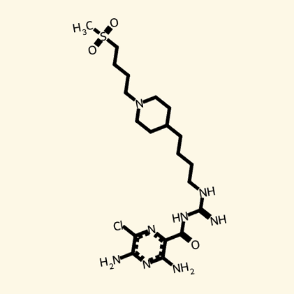 CS(=O)(=O)CCCCN1CCC(CCCCNC(=N)NC(=O)c2nc(Cl)c(N)nc2N)CC1